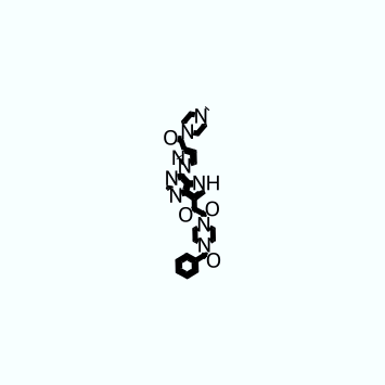 CN1CCN(C(=O)c2ccn(-c3ncnc4c(C(=O)C(=O)N5CCN(C(=O)c6ccccc6)CC5)c[nH]c34)n2)CC1